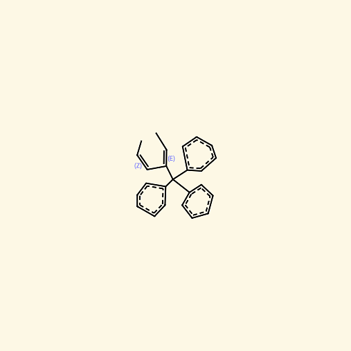 C/C=C\C(=C/C)C(c1ccccc1)(c1ccccc1)c1ccccc1